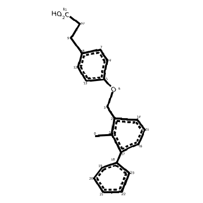 Cc1c(COc2ccc(CCC(=O)O)cc2)cccc1-c1ccccc1